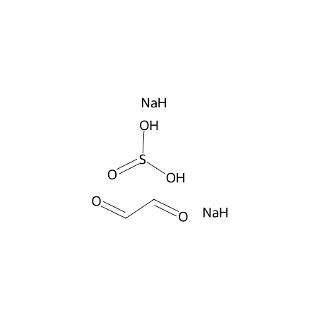 O=CC=O.O=S(O)O.[NaH].[NaH]